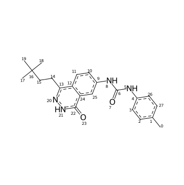 Cc1ccc(NC(=O)Nc2ccc3c(CCC(C)(C)C)n[nH]c(=O)c3c2)cc1